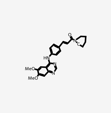 COc1cc2ncnc(Nc3ccc(C=CC(=O)N4CCCCC4)cc3)c2cc1OC